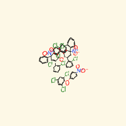 O=[N+]([O-])C1(c2ccccc2Cl)C=C(c2ccccc2Cl)C(OC2C(c3ccccc3Cl)=CC(c3ccccc3Cl)([N+](=O)[O-])C=C2c2ccccc2Cl)C(c2ccccc2Cl)=C1.O=[N+]([O-])c1ccc(Oc2c(Cl)cc(Cl)cc2Cl)cc1